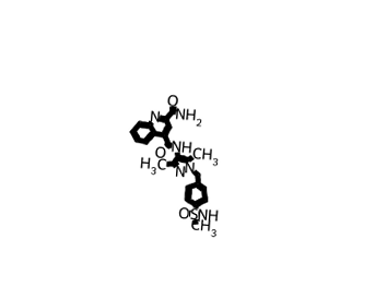 Cc1nn(Cc2ccc(S(C)(=N)=O)cc2)c(C)c1NC(=O)c1cc(C(N)=O)nc2ccccc12